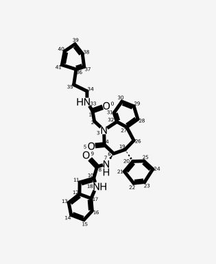 O=C(CN1C(=O)[C@@H](NC(=O)c2cc3ccccc3[nH]2)[C@@H](c2ccccc2)Cc2ccccc21)NCCc1ccccc1